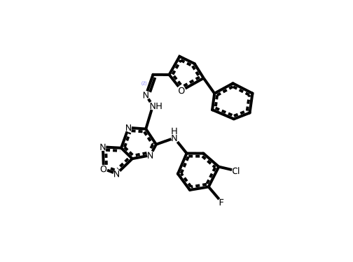 Fc1ccc(Nc2nc3nonc3nc2N/N=C\c2ccc(-c3ccccc3)o2)cc1Cl